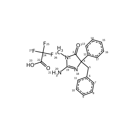 CN1C(=O)C(Cc2ccccc2)(c2ccccc2)N=C1N.O=C(O)C(F)(F)F